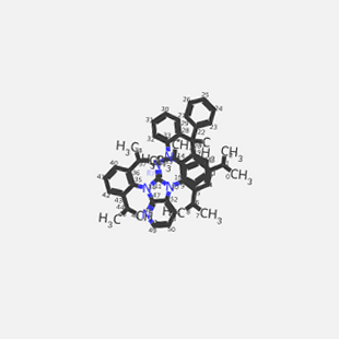 CC(C)c1cc(C(C)C)c(-n2/c(=N\N3c4ccccc4C(C)(c4ccccc4)c4ccccc43)n(-c3c(C(C)C)cccc3C(C)C)c3ncccc32)c(C(C)C)c1